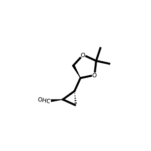 CC1(C)OC[C@H]([C@@H]2C[C@H]2C=O)O1